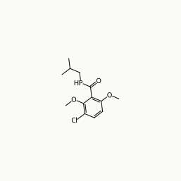 COc1ccc(Cl)c(OC)c1C(=O)PCC(C)C